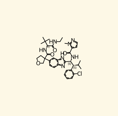 CCNC(=O)[C@H](NC(=O)C1(c2ccc3nc([C@@H](NC(=O)c4ccnn4C)[C@H](c4ccccc4Cl)C(C)C)[nH]c3c2)CCOC1)C(C)(C)C